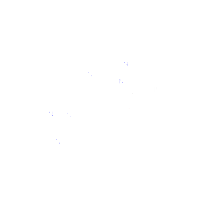 CCCCC(=O)N(N)c1ncc(-n2cncn2)s1